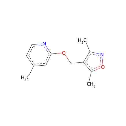 Cc1ccnc(OCc2c(C)noc2C)c1